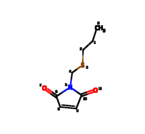 CCCSCN1C(=O)C=CC1=O